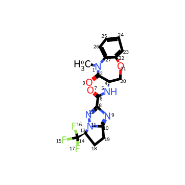 CN1C(=O)[C@@H](NC(=O)c2nc3n(n2)[C@H](C(F)(F)F)CC3)COc2ccccc21